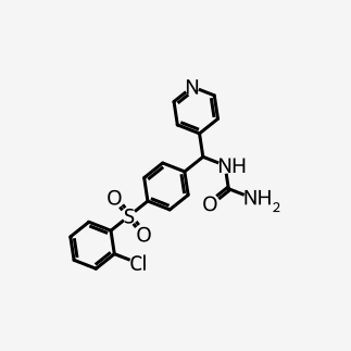 NC(=O)NC(c1ccncc1)c1ccc(S(=O)(=O)c2ccccc2Cl)cc1